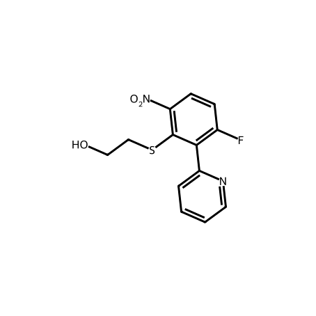 O=[N+]([O-])c1ccc(F)c(-c2ccccn2)c1SCCO